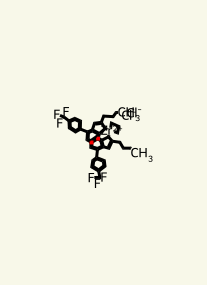 CCCCC1=Cc2c(-c3ccc(C(F)(F)F)cc3)cccc2[CH]1[Zr+2]1([CH]2C(CCCC)=Cc3c(-c4ccc(C(F)(F)F)cc4)cccc32)[CH2]C[CH2]1.[Cl-].[Cl-]